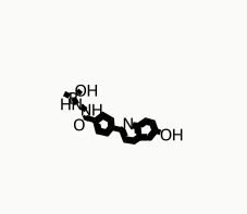 CB(O)NNC(=O)c1ccc(-c2ccc3cc(O)ccc3n2)cc1